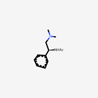 CC(=O)N[C@H](CN(C)C)c1ccccc1